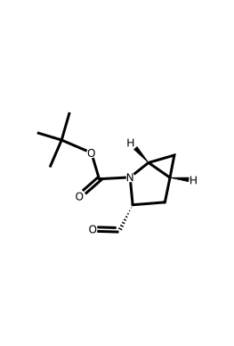 CC(C)(C)OC(=O)N1[C@@H]2C[C@@H]2C[C@@H]1C=O